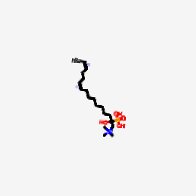 CCCC/C=C\CC/C=C\CCCCCCCC(O)(C[N+](C)(C)C)P(=O)(O)O